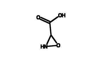 O=C(O)C1NO1